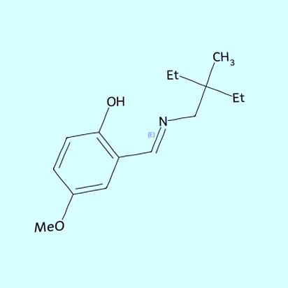 CCC(C)(CC)C/N=C/c1cc(OC)ccc1O